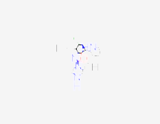 CC1CNCCN1c1nc2c(C(F)(F)F)c(Cl)cc(C3CCCCN3)c2o1